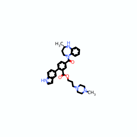 C[C@H]1CCN(C(=O)c2ccc(-c3ccc4[nH]ccc4c3)c(C(=O)OCCCN3CCN(C)CC3)c2)c2ccccc2N1